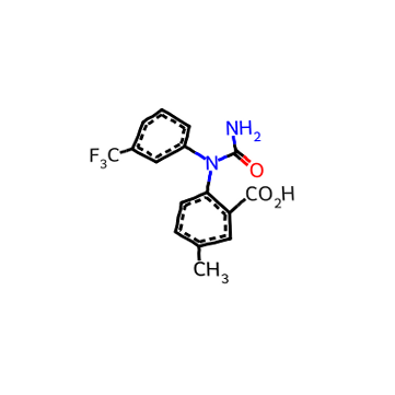 Cc1ccc(N(C(N)=O)c2cccc(C(F)(F)F)c2)c(C(=O)O)c1